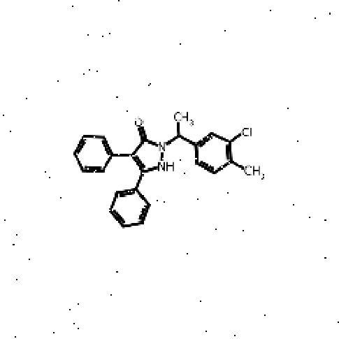 Cc1ccc(C(C)n2[nH]c(-c3ccccc3)c(-c3ccccc3)c2=O)cc1Cl